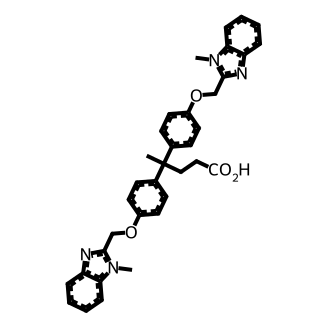 Cn1c(COc2ccc(C(C)(CCC(=O)O)c3ccc(OCc4nc5ccccc5n4C)cc3)cc2)nc2ccccc21